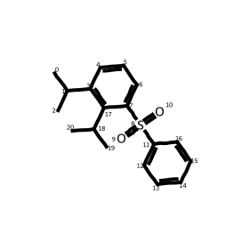 CC(C)c1cccc(S(=O)(=O)c2ccccc2)c1C(C)C